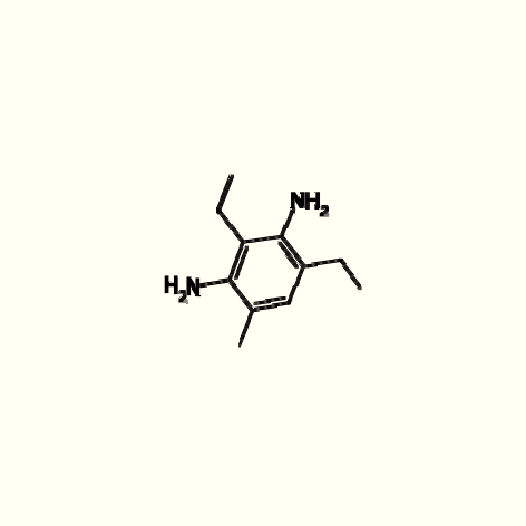 CCc1cc(C)c(N)c(CC)c1N